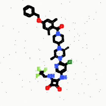 Cc1cc(OCc2ccccc2)cc(C)c1C(=O)N1CCC(N2C[C@H](C)N(c3ncc(Nc4c(NCC(F)(F)F)c(=O)c4=O)cc3Cl)C[C@H]2C)CC1